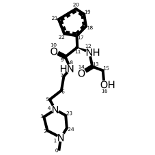 CN1CCN(CCCNC(=O)[C@H](NC(=O)CO)c2ccccc2)CC1